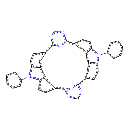 c1ccc(-n2c3ccc4cc3c3cc(ccc32)c2ncnc(n2)c2ccc3c(c2)c2cc(ccc2n3-c2ccccc2)c2ncnc4n2)cc1